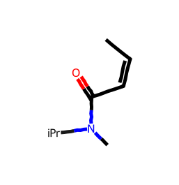 C/C=C\C(=O)N(C)C(C)C